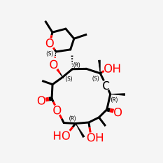 CC1CC(C)O[C@@H](O[C@@H]2C(C)C(=O)OC[C@@](C)(O)C(O)C(C)C(=O)[C@H](C)C[C@@](C)(O)C[C@H]2C)C1